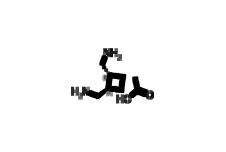 CC(=O)O.NC[C@@H]1CC[C@H]1CN